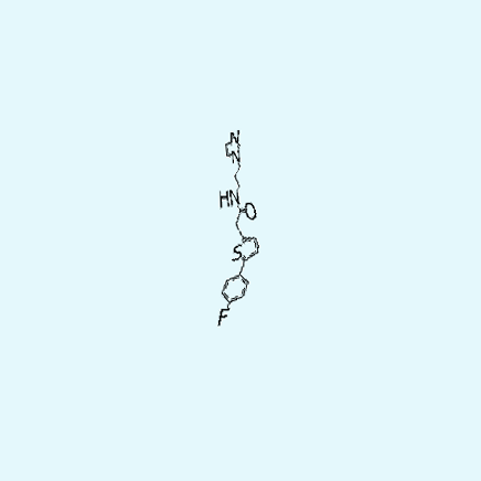 O=C(Cc1ccc(-c2ccc(F)cc2)s1)NCCCn1ccnc1